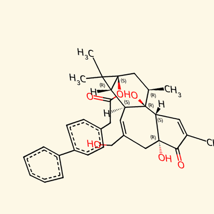 CC1=C[C@H]2[C@@]3(O)[C@H](C)C[C@]4(OC(=O)Cc5ccc(-c6ccccc6)cc5)[C@H]([C@@H]3C=C(CO)C[C@]2(O)C1=O)C4(C)C